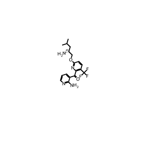 CC(C)C[C@@H](N)COc1ccc(C(F)(F)F)c(C(=O)c2cccnc2N)n1